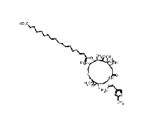 C/C(=C\c1csc(C)n1)[C@@H]1C[C@@H]2O[C@]2(C)CCC[C@H](C)[C@H](OC(=O)CCCCCCCCCCCCCCCCC(=O)O)[C@@H](C)C(=O)C(C)(C)[C@@H](O)CC(=O)N1